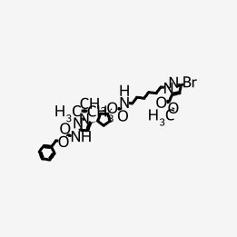 COC(=O)c1cc(Br)nn1CCCCCCNC(=O)O[C@@H]1CC[C@H](c2cc(NC(=O)OCc3ccccc3)nn2C(C)(C)C)C1